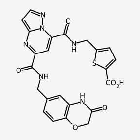 O=C1COc2ccc(CNC(=O)c3cc(C(=O)NCc4ccc(C(=O)O)s4)n4nccc4n3)cc2N1